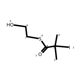 CC(C)(I)C(=O)SCCO